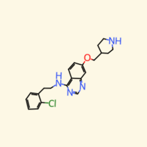 Clc1ccccc1CCNc1ncnc2cc(OCC3CCNCC3)ccc12